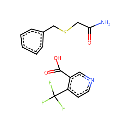 NC(=O)CSCc1ccccc1.O=C(O)c1cnccc1C(F)(F)F